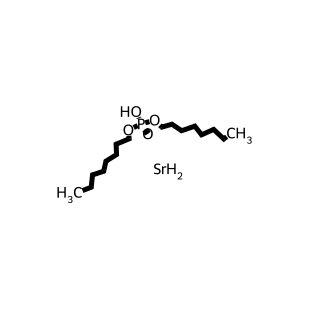 CCCCCCCCOP(=O)(O)OCCCCCCCC.[SrH2]